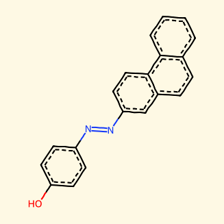 Oc1ccc(/N=N/c2ccc3c(ccc4ccccc43)c2)cc1